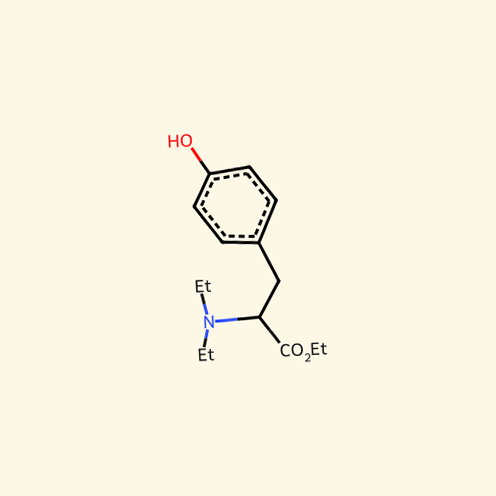 CCOC(=O)C(Cc1ccc(O)cc1)N(CC)CC